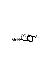 CNC(Cc1ccc(C(C)=O)cc1)C(=O)O